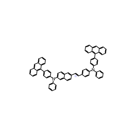 C(=C\c1ccc2cc(N(c3ccccc3)c3ccc(-c4c5ccccc5cc5ccccc45)cc3)ccc2c1)/c1ccc(N(c2ccccc2)c2ccc(-c3c4ccccc4cc4ccccc34)cc2)cc1